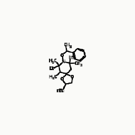 CCCCC1COC2(CC(C)(CC)N(OC(C)c3ccccc3)C(C)(CC)C2C)O1